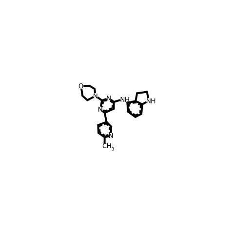 Cc1ccc(-c2cc(Nc3cccc4c3CCN4)nc(N3CCOCC3)n2)cn1